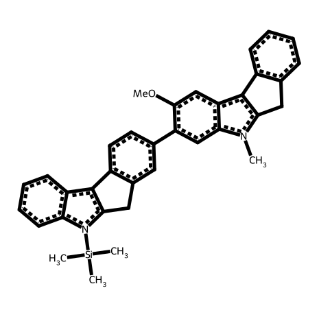 COc1cc2c3c(n(C)c2cc1-c1ccc2c(c1)Cc1c-2c2ccccc2n1[Si](C)(C)C)Cc1ccccc1-3